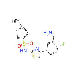 CCCc1ccc(S(=O)(=O)Nc2nc(-c3ccc(F)c(CN)c3)cs2)cc1